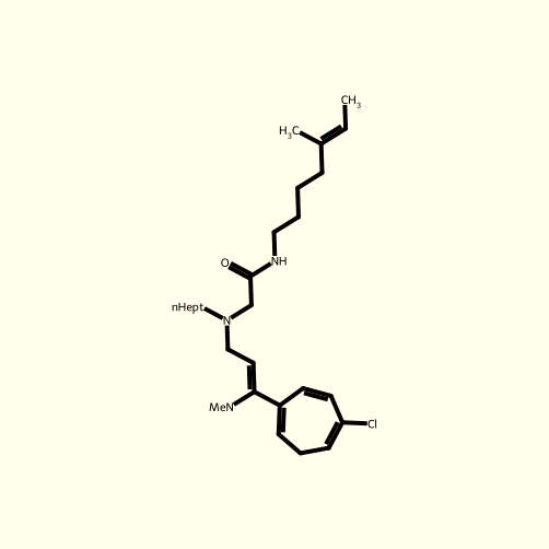 C/C=C(\C)CCCCNC(=O)CN(C/C=C(\NC)C1=CCC=C(Cl)C=C1)CCCCCCC